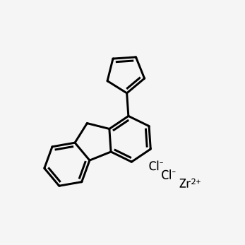 C1=CCC(c2cccc3c2Cc2ccccc2-3)=C1.[Cl-].[Cl-].[Zr+2]